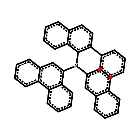 c1ccc(-c2ccc3ccccc3c2N(c2ccc3ccccc3c2)c2cc3ccccc3c3ccccc23)cc1